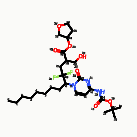 CCCCCCCCC(n1ccc(NC(=O)OC(C)(C)C)nc1=O)C(F)(F)CC(CO)C(=O)OC1CCOC1